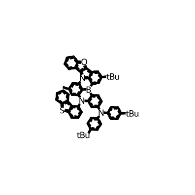 Cc1cc2c3c(c1)-n1c4c(cc(C(C)(C)C)cc4c4oc5ccccc5c41)B3c1ccc(N(c3ccc(C(C)(C)C)cc3)c3ccc(C(C)(C)C)cc3)cc1N2c1cccc2sc3ccccc3c12